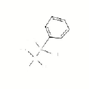 C[Si](C)(C)[Si](C)(C)c1ccccc1